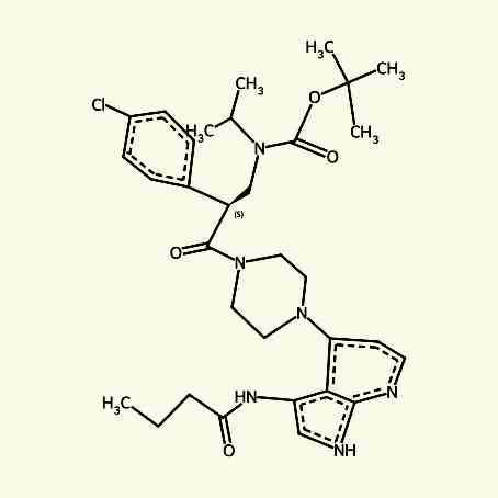 CCCC(=O)Nc1c[nH]c2nccc(N3CCN(C(=O)[C@H](CN(C(=O)OC(C)(C)C)C(C)C)c4ccc(Cl)cc4)CC3)c12